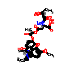 COc1ccc2c3c1OC1C(OC(=O)[C@H](C)OC(=O)C[C@H](NC(=O)[C@H](C)O)C(=O)O)=CC[C@@]4(O)[C@@H](C2)N(C)CCC314